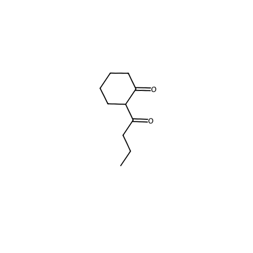 CCCC(=O)C1CCCCC1=O